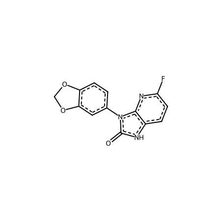 O=c1[nH]c2ccc(F)nc2n1-c1ccc2c(c1)OCO2